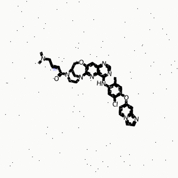 Cc1cc(Oc2ccn3ccnc3c2)c(Cl)cc1Nc1ncnc2cc3c(nc12)N1CCN(C(=O)/C=C/CN(C)C)C(CO3)C1